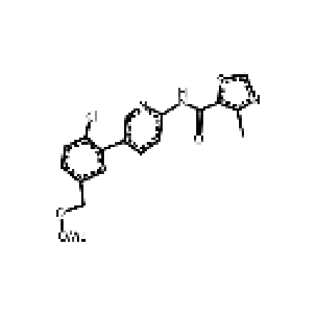 COOCc1ccc(Cl)c(-c2ccc(NC(=O)c3scnc3C)nc2)c1